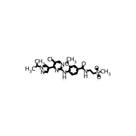 COc1cc(C(=O)NCCS(C)(=O)=O)ccc1Nc1ncc(Cl)c(-c2cnn(C(C)C)c2)n1